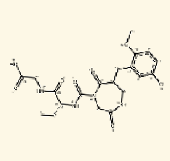 CC[C@@H](NC(=O)N1CC(=O)NCC(Cc2cc(Cl)ccc2OC)C1=O)C(=O)NCC(=O)O